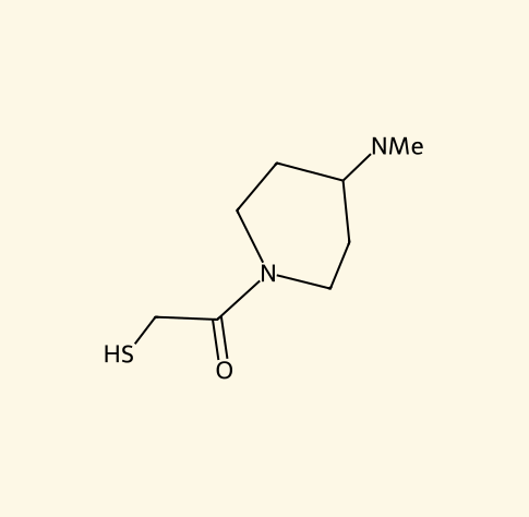 CNC1CCN(C(=O)CS)CC1